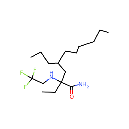 CCCCCCC(CCC)CC(CC)(NCC(F)(F)F)C(N)=O